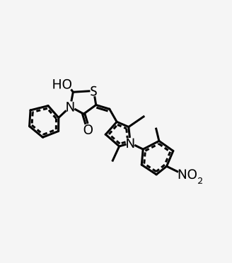 Cc1cc([N+](=O)[O-])ccc1-n1c(C)cc(/C=C2/SC(O)N(c3ccccc3)C2=O)c1C